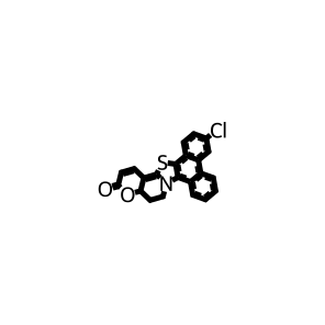 O=C1C=CC2=C3Sc4c(c5ccccc5c5cc(Cl)ccc45)N3CCC2O1